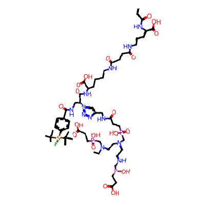 CCC(=O)NC(CCCNC(=O)CCC(=O)NCCCCC(NC(=O)C(CNC(=O)c1ccc(S(F)(C(C)(C)C)C(C)(C)C)cc1)n1cc(CNC(=O)CCP(=O)(O)CN(CCNCP(O)CCC(=O)O)CCN(CC)CP(=O)(O)CCC(=O)O)nn1)C(=O)O)C(=O)O